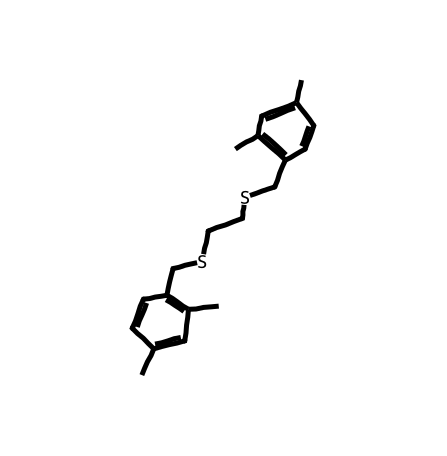 Cc1ccc(CSCCSCc2ccc(C)cc2C)c(C)c1